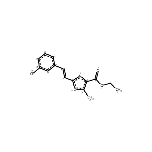 CCOC(=O)c1nc(C=Cc2cccc(Cl)c2)oc1C